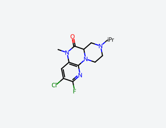 CC(C)N1CCN2c3nc(F)c(Cl)cc3N(C)C(=O)C2C1